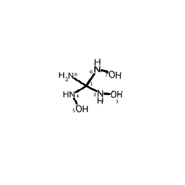 NC(NO)(NO)NO